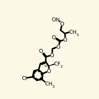 Cc1cc(Cl)cc2c1O[C@H](C(F)(F)F)C(C(=O)OCOC(=O)OC(C)CON=O)=C2